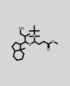 COC(=O)CCC(OC(C(C)CO)C1CCC2CCCCC21C)[Si](C)(C)C(C)(C)C